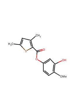 COc1ccc(OC(=O)c2sc(C)cc2C)cc1O